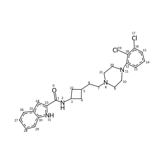 O=C(NC1CC(CCN2CCN(c3cccc(Cl)c3Cl)CC2)C1)c1cc2ccccc2[nH]1